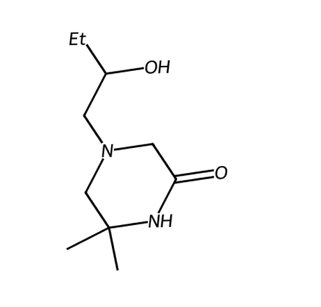 CCC(O)CN1CC(=O)NC(C)(C)C1